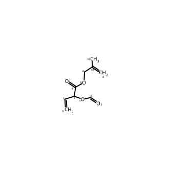 C=CC(O[C]=O)C(=O)OCC(=C)C